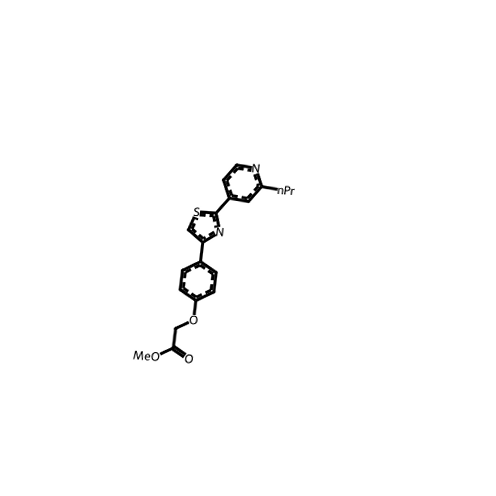 CCCc1cc(-c2nc(-c3ccc(OCC(=O)OC)cc3)cs2)ccn1